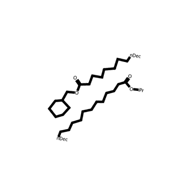 CCCCCCCCCCCCCCCCCC(=O)OCC1CCCCC1.CCCCCCCCCCCCCCCCCCCCCC(=O)OC(C)C